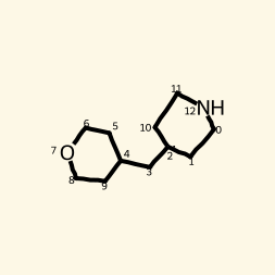 C1C[C](CC2CCOCC2)CCN1